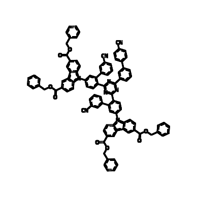 [C-]#[N+]c1cccc(-c2cc(-n3c4ccc(C(=O)OCc5ccccc5)cc4c4cc(C(=O)OCc5ccccc5)ccc43)ccc2-c2nc(-c3cccc(-c4ccc(C#N)cc4)c3)nc(-c3ccc(-n4c5ccc(C(=O)OCc6ccccc6)cc5c5cc(C(=O)OCc6ccccc6)ccc54)cc3-c3cccc(C#N)c3)n2)c1